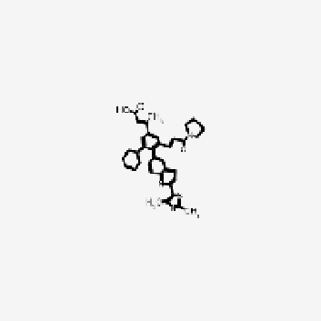 CC(=CC(=O)O)c1cc(C=CC(=O)N2CCCCC2)c(-c2ccc3nc(-c4sc(C)nc4C)ccc3c2)c(C2CCCCC2)c1